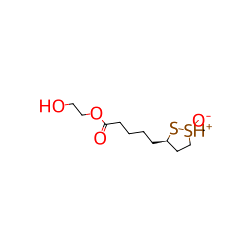 O=C(CCCC[C@@H]1CC[SH+]([O-])S1)OCCO